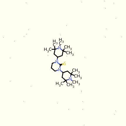 CN1C(C)(C)CC(N2CCCN(C3CC(C)(C)N(C)C(C)(C)C3)C2=S)CC1(C)C